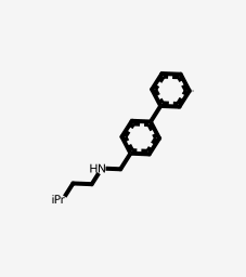 CC(C)CCNCc1ccc(-c2c[c]ccc2)cc1